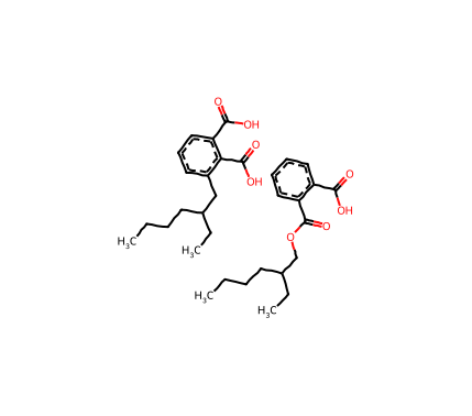 CCCCC(CC)COC(=O)c1ccccc1C(=O)O.CCCCC(CC)Cc1cccc(C(=O)O)c1C(=O)O